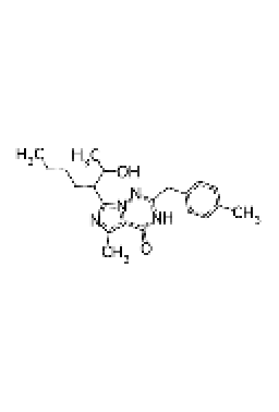 CCCCC(c1nc(C)c2c(=O)[nH]c(Cc3ccc(C)cc3)nn12)C(C)O